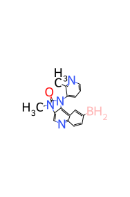 Bc1ccc2ncc3c(c2c1)n(-c1cccnc1C)c(=O)n3C